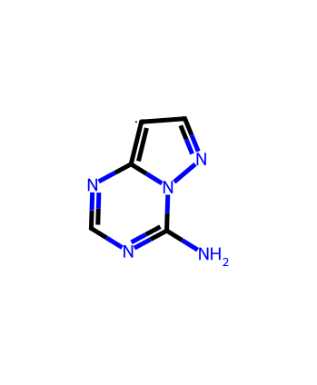 Nc1ncnc2[c]cnn12